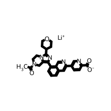 CC(=O)N1CCn2c(C3CCOCC3)nc(-c3cccc4cc(-c5ccc(C(=O)[O-])nc5)ncc34)c2C1.[Li+]